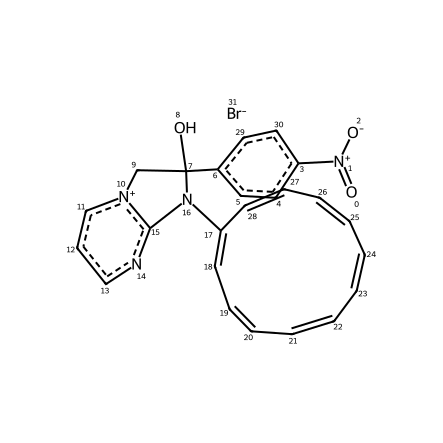 O=[N+]([O-])c1ccc(C2(O)C[n+]3cccnc3N2C2=CC=CC=CC=CC=CC=C2)cc1.[Br-]